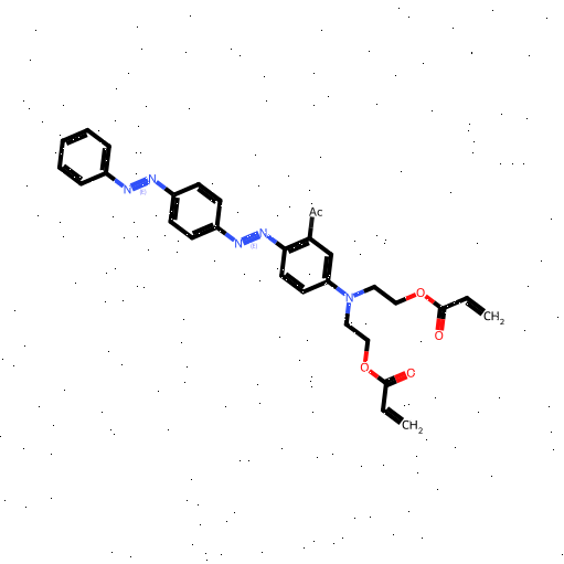 C=CC(=O)OCCN(CCOC(=O)C=C)c1ccc(/N=N/c2ccc(/N=N/c3ccccc3)cc2)c(C(C)=O)c1